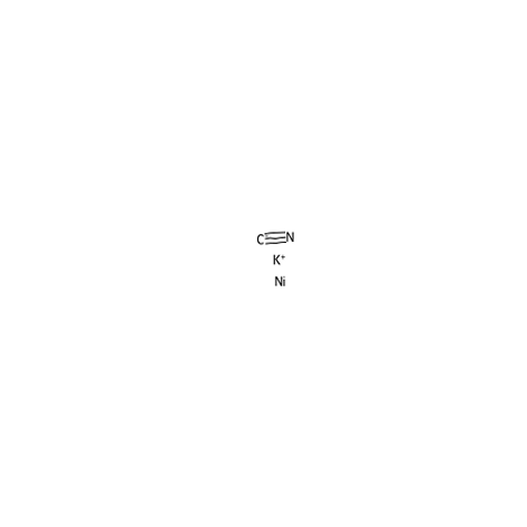 [C-]#N.[K+].[Ni]